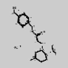 CC(C)[C@@H]1CC[C@@H](C)C[C@H]1OCC(=O)NCc1ccc(CN)cc1.Cl